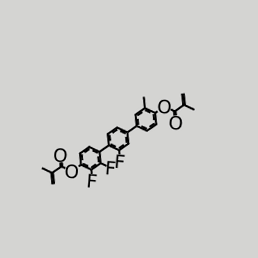 C=C(C)C(=O)Oc1ccc(-c2ccc(-c3ccc(OC(=O)C(=C)C)c(F)c3F)c(F)c2)cc1C